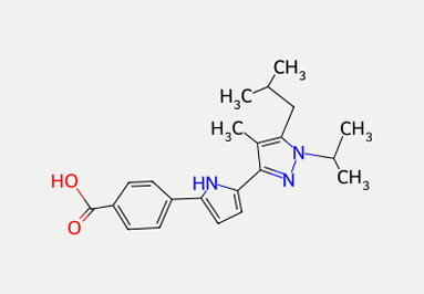 Cc1c(-c2ccc(-c3ccc(C(=O)O)cc3)[nH]2)nn(C(C)C)c1CC(C)C